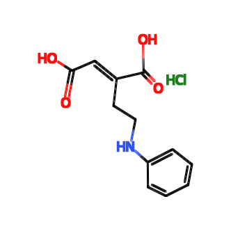 Cl.O=C(O)/C=C(\CCNc1ccccc1)C(=O)O